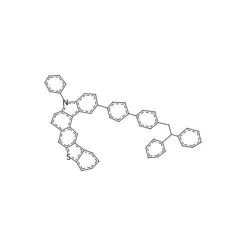 c1ccc(C(Cc2ccc(-c3ccc(-c4ccc5c(c4)c4c6cc7c(cc6ccc4n5-c4ccccc4)sc4ccccc47)cc3)cc2)c2ccccc2)cc1